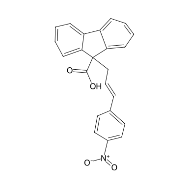 O=C(O)C1(CC=Cc2ccc([N+](=O)[O-])cc2)c2ccccc2-c2ccccc21